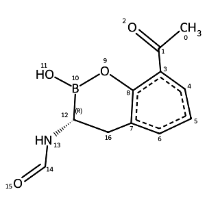 CC(=O)c1cccc2c1OB(O)[C@@H](NC=O)C2